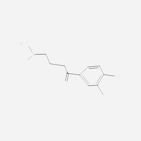 CN(C)CCCC(=O)c1ccc(O)c(O)c1